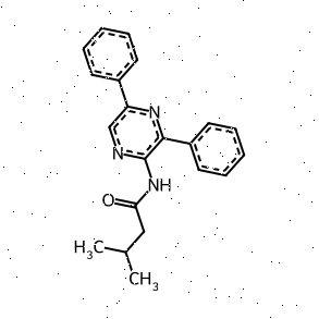 CC(C)CC(=O)Nc1ncc(-c2ccccc2)nc1-c1ccccc1